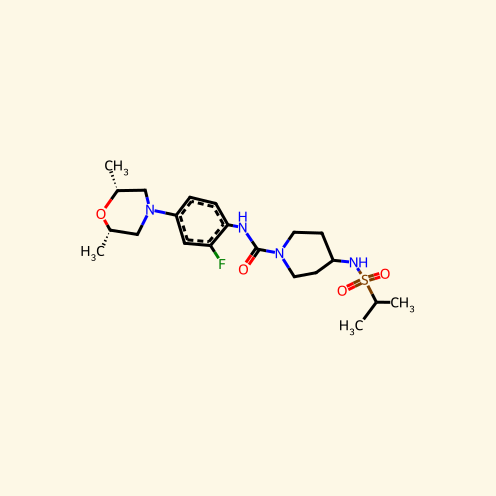 CC(C)S(=O)(=O)NC1CCN(C(=O)Nc2ccc(N3C[C@@H](C)O[C@@H](C)C3)cc2F)CC1